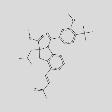 COC(=O)C1(CC(C)C)Cc2c(C=CC(C)=O)cccc2N1C(=O)c1ccc(C(C)(C)C)c(OC)c1